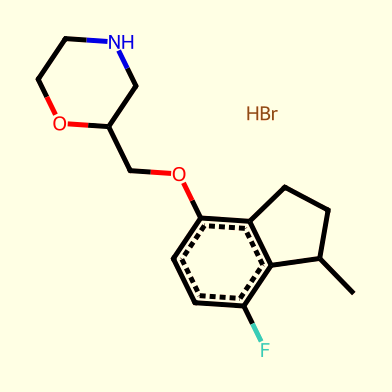 Br.CC1CCc2c(OCC3CNCCO3)ccc(F)c21